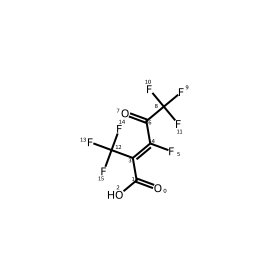 O=C(O)C(=C(F)C(=O)C(F)(F)F)C(F)(F)F